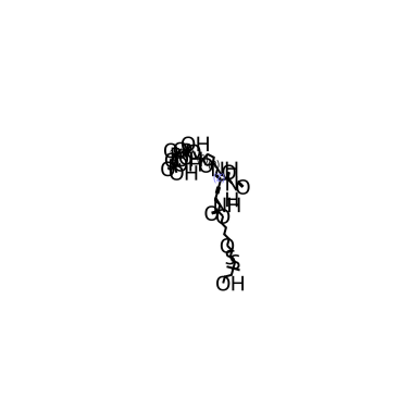 CC(C)(CCO)SSCOCCCCOC(=O)NCC#C/C(=C/N[C@H]1CC[C@@H](COP(=O)(O)OP(=O)(O)OP(=O)(O)O)O1)C(=O)NC=O